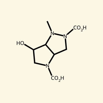 CN1C2C(O)CN(C(=O)O)C2CN1C(=O)O